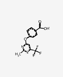 Cc1nc(Oc2ccc(C(=O)O)cc2)cc(C(F)(F)F)n1